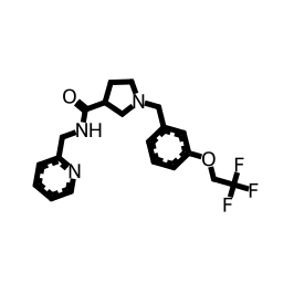 O=C(NCc1ccccn1)C1CCN(Cc2cccc(OCC(F)(F)F)c2)C1